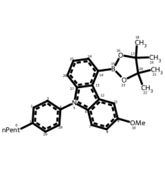 CCCCCc1ccc(-n2c3ccc(OC)cc3c3c(B4OC(C)(C)C(C)(C)O4)cccc32)cc1